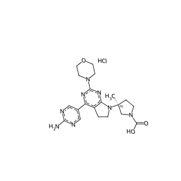 C[C@]1(N2CCc3c(-c4cnc(N)nc4)nc(N4CCOCC4)nc32)CCN(C(=O)O)C1.Cl